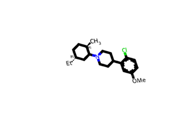 CC[C@@H]1CC[C@@H](C)C(N2CCC(c3cc(OC)ccc3Cl)CC2)C1